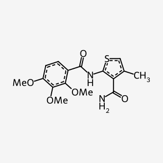 COc1ccc(C(=O)Nc2scc(C)c2C(N)=O)c(OC)c1OC